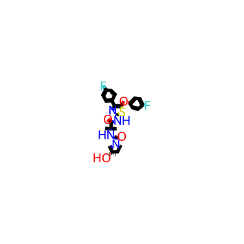 CC(C)(NC(=O)N1CC[C@@H](O)C1)C(=O)Nc1nc(-c2ccc(F)cc2)c(Oc2ccc(F)cc2)s1